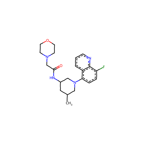 CC1CC(NC(=O)CN2CCOCC2)CN(c2ccc(F)c3ncccc23)C1